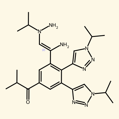 CC(C)C(=O)c1cc(/C(N)=C/N(N)C(C)C)c(-c2cn(C(C)C)nn2)c(-c2cn(C(C)C)nn2)c1